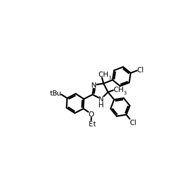 CCOc1ccc(C(C)(C)C)cc1C1=NC(C)(c2ccc(Cl)cc2)C(C)(c2ccc(Cl)cc2)N1